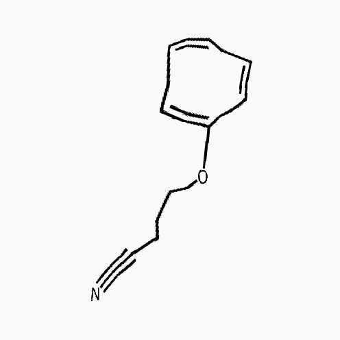 N#CCCOc1ccccc1